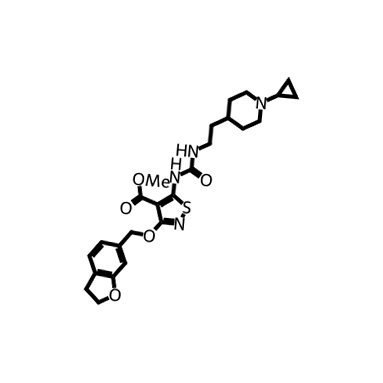 COC(=O)c1c(OCc2ccc3c(c2)OCC3)nsc1NC(=O)NCCC1CCN(C2CC2)CC1